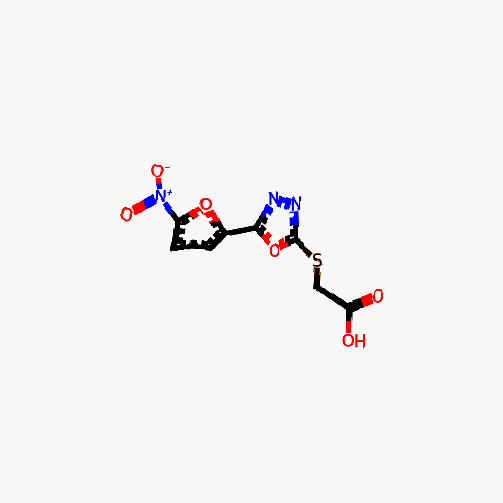 O=C(O)CSc1nnc(-c2ccc([N+](=O)[O-])o2)o1